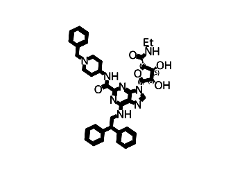 CCNC(=O)[C@H]1O[C@@H](n2cnc3c(NCC(c4ccccc4)c4ccccc4)nc(C(=O)NC4CCN(Cc5ccccc5)CC4)nc32)[C@@H](O)[C@@H]1O